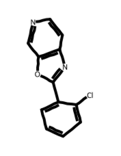 Clc1ccccc1-c1nc2ccncc2o1